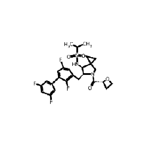 CC(C)S(=O)(=O)N[C@@H]1[C@H](Cc2cc(F)cc(-c3cc(F)cc(F)c3)c2F)N(C(=O)[C@H]2CCO2)CC12CC2